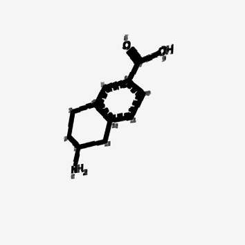 NC1CCc2cc(C(=O)O)ccc2C1